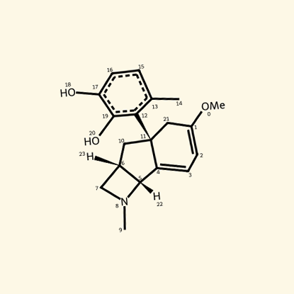 COC1=CC=C2[C@H]3[C@H](CN3C)C[C@]2(c2c(C)ccc(O)c2O)C1